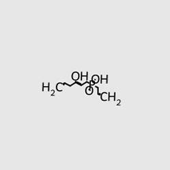 C=CCC(O)=CCP(=O)(O)CC=C